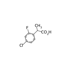 CC(C(=O)O)c1ccc(Cl)cc1F